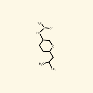 CC(C)CC1CCC(N[S+](C)[O-])CO1